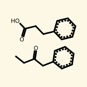 CCC(=O)Cc1ccccc1.O=C(O)CCc1ccccc1